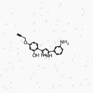 C#CCOc1ccc(-c2cc(-c3cccc(N)c3)[nH]n2)c(O)c1